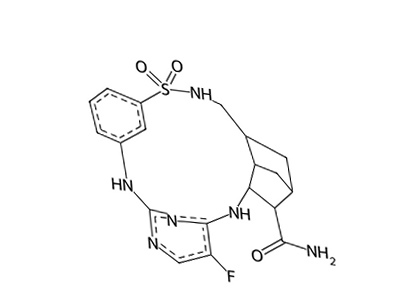 NC(=O)C1C2CC3CNS(=O)(=O)c4cccc(c4)Nc4ncc(F)c(n4)NC1C3C2